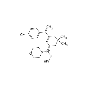 C=C(C1=C/C(=[N+](/OCCC)N2CCOCC2)CC(C)(C)C1)c1ccc(Cl)cc1